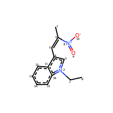 CCn1cc(/C=C(/C)[N+](=O)[O-])c2ccccc21